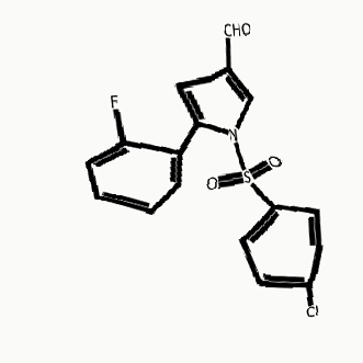 O=Cc1cc(-c2ccccc2F)n(S(=O)(=O)c2ccc(Cl)cc2)c1